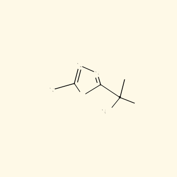 CC(C)(C#N)c1nnc(N)s1